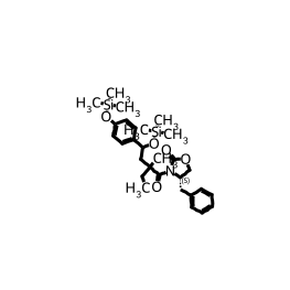 CCC(C)(CC(O[Si](C)(C)C)c1ccc(O[Si](C)(C)C)cc1)C(=O)N1C(=O)OC[C@@H]1Cc1ccccc1